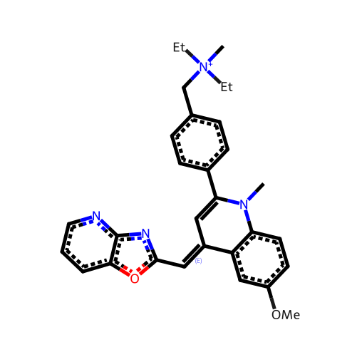 CC[N+](C)(CC)Cc1ccc(C2=C/C(=C\c3nc4ncccc4o3)c3cc(OC)ccc3N2C)cc1